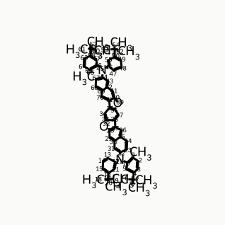 Cc1ccc(C(C)(C)C)cc1N(c1cccc(C(C)(C)C)c1)c1ccc2cc3c(cc2c1)oc1cc2c(cc13)oc1cc3cc(N(c4cccc(C(C)(C)C)c4)c4cc(C(C)(C)C)ccc4C)ccc3cc12